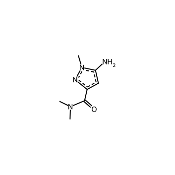 CN(C)C(=O)c1cc(N)n(C)n1